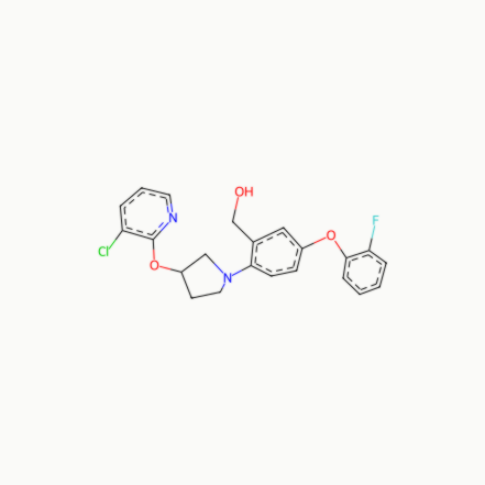 OCc1cc(Oc2ccccc2F)ccc1N1CCC(Oc2ncccc2Cl)C1